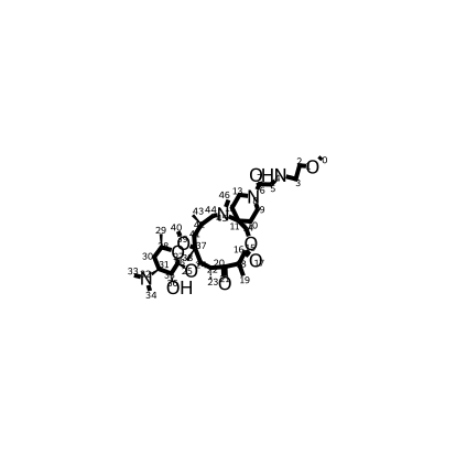 COCCNCC(=O)N1CCC2(CC1)COC(=O)C(C)C(=O)[C@H](C)[C@@H](O[C@@H]1O[C@H](C)C[C@H](N(C)C)[C@H]1O)[C@](C)(OC)C[C@@H](C)CN2C